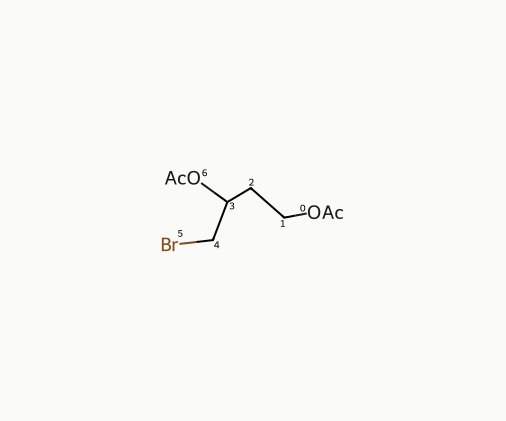 CC(=O)OCCC(CBr)OC(C)=O